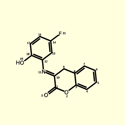 O=C1Oc2ccccc2CC1=Nc1cc(F)ccc1O